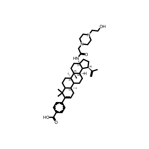 C=C(C)[C@@H]1CC[C@]2(NC(=O)CN3CCN(CCO)CC3)CC[C@]3(C)[C@H](CCC4[C@@]5(C)CC=C(c6ccc(C(=O)O)cc6)C(C)(C)C5CC[C@]43C)C12